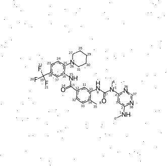 CNc1cc(N(C)C(=O)Nc2cc(C(=O)Nc3cc(C(F)(F)F)ccc3N3CCCCC3)ccc2C)ncn1